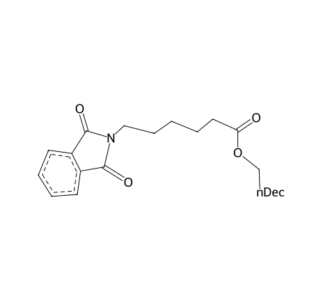 CCCCCCCCCCCOC(=O)CCCCCN1C(=O)c2ccccc2C1=O